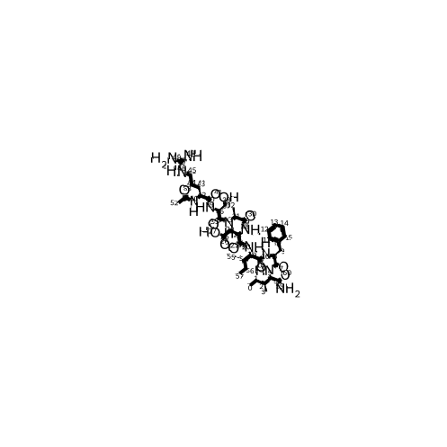 CC[C@H](C)[C@H](NC(=O)[C@H](Cc1ccccc1)NC(=O)[C@@H](NC(=O)C(CC(=O)O)NC(=O)[C@H](C)NC(=O)[C@H](CO)NC(=O)[C@H](CCCNC(=N)N)NC(C)=O)[C@@H](C)CC)C(N)=O